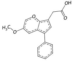 COc1coc2c(CC(=O)O)cc(-c3ccccc3)c-2c1